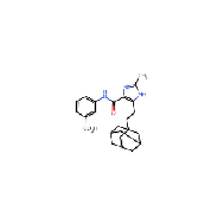 Cc1nc(C(=O)Nc2cccc(C(=O)O)c2)c(CCC23CC4CC(CC(C4)C2)C3)[nH]1